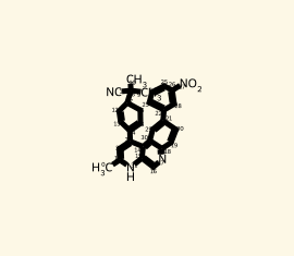 CC1=C=C(C2=CCC(C(C)(C)C#N)C=C2)c2c(cnc3ccc(-c4cccc([N+](=O)[O-])c4)cc23)N1